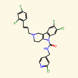 O=C(NCc1ccnc(Cl)c1)n1c2c(c3cc(F)c(Cl)cc31)CN(CC=Cc1ccc(F)cc1F)CC2